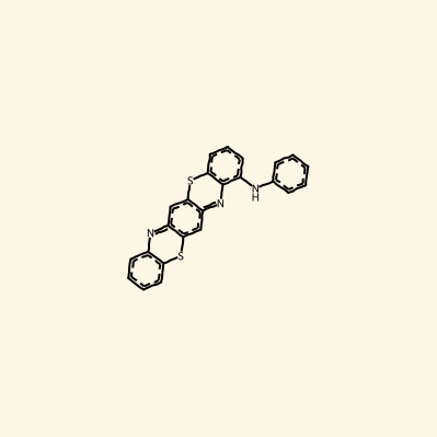 c1ccc(Nc2cccc3c2N=c2cc4c(cc2S3)=Nc2ccccc2S4)cc1